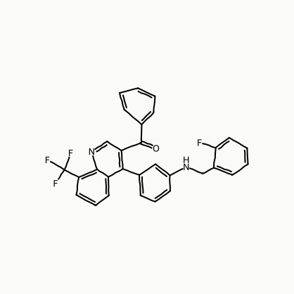 O=C(c1ccccc1)c1cnc2c(C(F)(F)F)cccc2c1-c1cccc(NCc2ccccc2F)c1